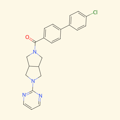 O=C(c1ccc(-c2ccc(Cl)cc2)cc1)N1CC2CN(c3ncccn3)CC2C1